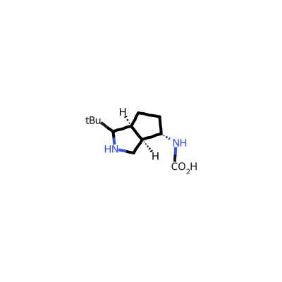 CC(C)(C)C1NC[C@@H]2[C@@H](NC(=O)O)CC[C@H]12